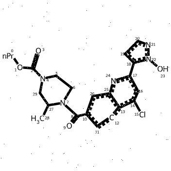 CCCOC(=O)N1CCN(C(=O)c2ccc3c(Cl)cc(-c4ccnn4O)nc3c2)C(C)C1